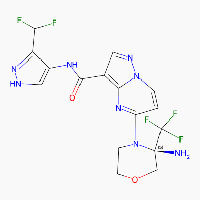 N[C@@]1(C(F)(F)F)COCCN1c1ccn2ncc(C(=O)Nc3c[nH]nc3C(F)F)c2n1